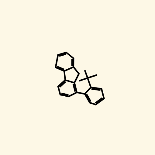 CC(C)(C)c1ccccc1-c1cccc2c1Cc1ccccc1-2